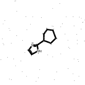 [c]1c[nH]c(C2CCCCC2)n1